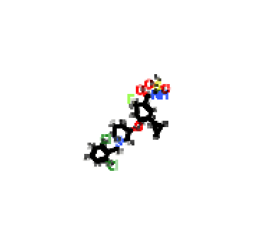 CS(=O)(=O)NC(=O)c1cc(C2CC2)c(OC2CCCN(Cc3c(Cl)cccc3Cl)C2)cc1F